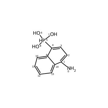 Nc1ccc([PH](O)(O)O)c2ccccc12